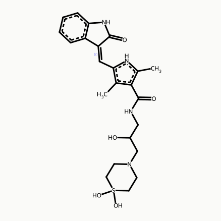 Cc1[nH]c(/C=C2\C(=O)Nc3ccccc32)c(C)c1C(=O)NCC(O)CN1CCS(O)(O)CC1